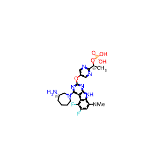 CNc1cc(F)c(F)c2c1[nH]c1nc(Oc3cnc([C@H](C)OP(=O)(O)O)nc3)nc(N3CCCC[C@H](N)C3)c12